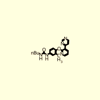 CCCCNC(=O)Nc1ccc(Oc2ncccc2-c2ccncn2)c(C)c1